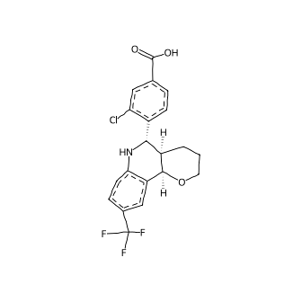 O=C(O)c1ccc([C@H]2Nc3ccc(C(F)(F)F)cc3[C@@H]3OCCC[C@H]23)c(Cl)c1